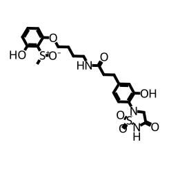 C[S+]([O-])c1c(O)cccc1OCCCCNC(=O)CCc1ccc(N2CC(=O)NS2(=O)=O)c(O)c1